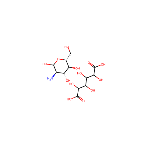 N[C@H]1C(O)O[C@H](CO)[C@@H](O)[C@@H]1O.O=C(O)C(O)C(O)C(O)C(O)C(=O)O